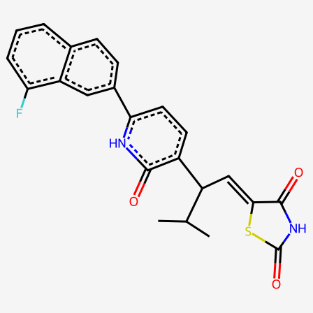 CC(C)C(C=C1SC(=O)NC1=O)c1ccc(-c2ccc3cccc(F)c3c2)[nH]c1=O